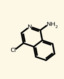 Nc1ncc(Cl)c2ccccc12